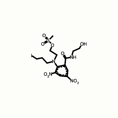 CS(=O)(=O)OCCN(CCCI)c1c(C(=O)NCCO)cc([N+](=O)[O-])cc1[N+](=O)[O-]